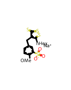 CCCCCCc1ssc(=S)c1Cc1ccc(OC)c(S(=O)(=O)[O-])c1.[Na+]